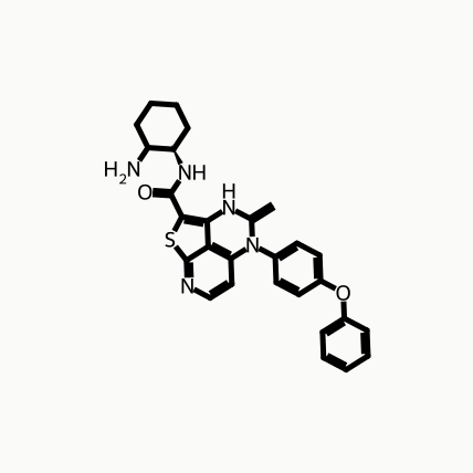 C=c1[nH]c2c(C(=O)N[C@@H]3CCCCC3N)sc3nccc(c32)n1-c1ccc(Oc2ccccc2)cc1